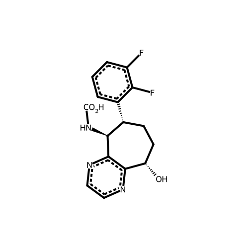 O=C(O)N[C@@H]1c2nccnc2[C@@H](O)CC[C@H]1c1cccc(F)c1F